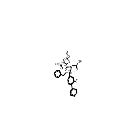 CCO[C@H]1O[C@H](C(=O)O)[C@@H](C(=O)N(CC(=O)O)[C@H](C)[C@H](CCc2ccccc2)c2ccc(-c3ccccc3)c(F)c2)O1